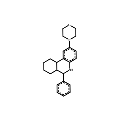 c1ccc(C2Nc3ccc(N4CCOCC4)cc3C3CCCCC32)cc1